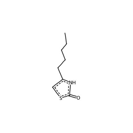 CCCCCc1csc(=O)[nH]1